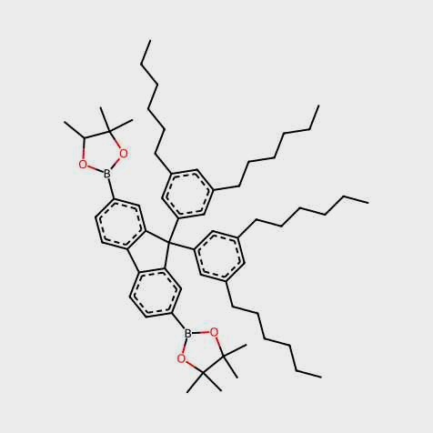 CCCCCCc1cc(CCCCCC)cc(C2(c3cc(CCCCCC)cc(CCCCCC)c3)c3cc(B4OC(C)C(C)(C)O4)ccc3-c3ccc(B4OC(C)(C)C(C)(C)O4)cc32)c1